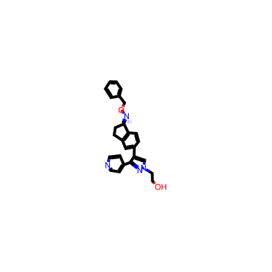 OCCn1cc(-c2ccc3c(c2)CC/C3=N\OCc2ccccc2)c(-c2ccncc2)n1